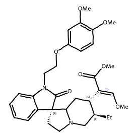 CC[C@H]1CN2CC[C@]3(C(=O)N(CCOc4ccc(OC)c(OC)c4)c4ccccc43)C2C[C@@H]1/C(=C\OC)C(=O)OC